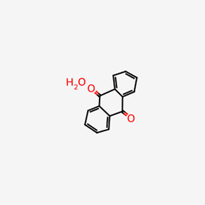 O.O=C1c2ccccc2C(=O)c2ccccc21